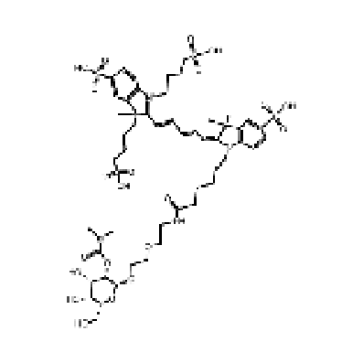 CN(C)C(=O)O[C@@H]1[C@@H](OCCOCCNC(=O)CCCCCN2/C(=C/C=C/C=C/C3=[N+](CCCCS(=O)(=O)O)c4ccc(S(=O)(=O)O)cc4C3(C)CCCCS(=O)(=O)O)C(C)(C)c3cc(S(=O)(=O)O)ccc32)O[C@H](CO)[C@@H](O)[C@@H]1O